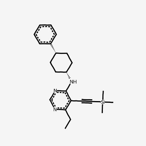 CCc1ncnc(N[C@H]2CC[C@@H](c3ccccc3)CC2)c1C#C[Si](C)(C)C